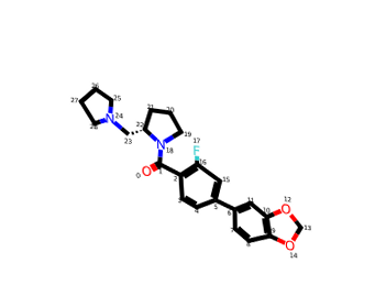 O=C(c1ccc(-c2ccc3c(c2)OCO3)cc1F)N1CCC[C@H]1CN1CCCC1